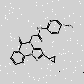 Bc1ccc(NC(=O)Cn2c(=O)c3cccnc3n3nc(C4CC4)cc23)nc1